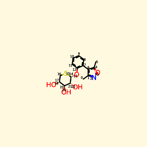 Cc1noc(C)c1-c1ccccc1O[C@H]1SC[C@@H](O)[C@H](O)[C@H]1O